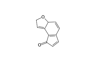 O=C1C=CC2=C1C1=CCOC1C=C2